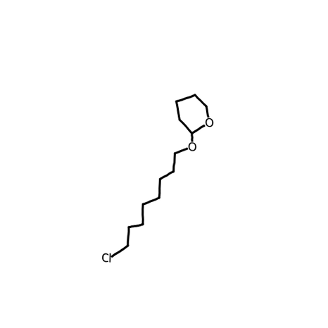 ClCCCCCCCCOC1CCCCO1